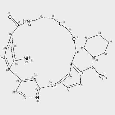 CC(c1ccc2cc1COCCCCNC(=O)c1ccc(c(N)c1)-c1ccnc(n1)N2)N1CCCCC1